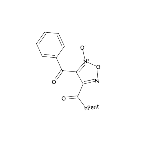 CCCCCC(=O)c1no[n+]([O-])c1C(=O)c1ccccc1